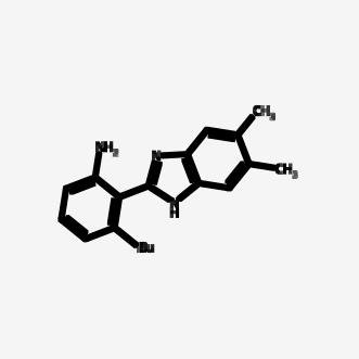 CCC(C)c1cccc(N)c1-c1nc2cc(C)c(C)cc2[nH]1